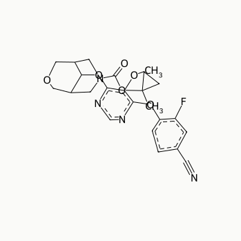 COc1c(Oc2ccc(C#N)cc2F)ncnc1OC1C2COCC1CN(C(=O)OC1(C)CC1)C2